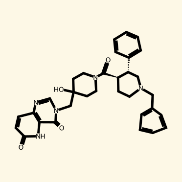 O=C([C@@H]1CCN(Cc2ccccc2)C[C@H]1c1ccccc1)N1CCC(O)(Cn2cnc3ccc(=O)[nH]c3c2=O)CC1